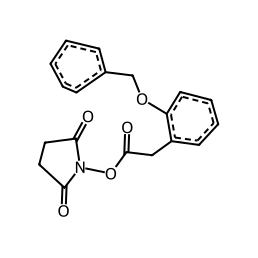 O=C(Cc1ccccc1OCc1ccccc1)ON1C(=O)CCC1=O